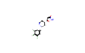 O=c1cc([C@@H]2CCN[C@@H](Cc3cc(F)c(F)c(F)c3)C2)o[nH]1